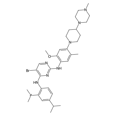 COc1cc(N2CCC(N3CCN(C)CC3)CC2)c(C)cc1Nc1ncc(Br)c(Nc2ccc(C(C)C)cc2P(C)C)n1